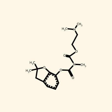 CN(C)CCOC(=O)N(C)C(=O)Oc1cccc2c1OC(C)(C)C2